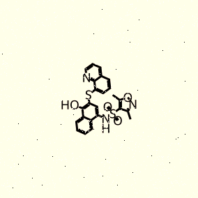 Cc1noc(C)c1S(=O)(=O)Nc1cc(Sc2cccc3cccnc23)c(O)c2ccccc12